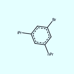 [CH2]C(C)c1cc(Br)cc(CCC)c1